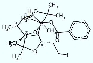 C[C@H](/C=C\C(OC(=O)c1ccccc1)C1OC(C)(C)O[C@H]1CCI)[C@H](C)O[Si](C)(C)C(C)(C)C